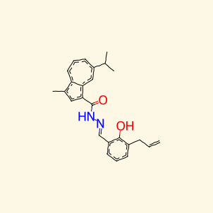 C=CCc1cccc(/C=N/NC(=O)c2cc(C)c3cccc(C(C)C)cc2-3)c1O